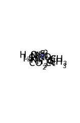 CCOC(=O)c1nc(N(C)c2cc(C3CC3)c(/N=c3\sc4ccccc4n3COCC[Si](C)(C)C)nn2)sc1CCCI